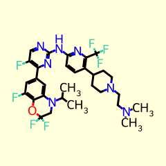 CC(C)N1CC(F)(F)Oc2c(F)cc(-c3nc(Nc4ccc(C5CCN(CCN(C)C)CC5)c(C(F)(F)F)n4)ncc3F)cc21